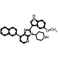 COc1ccc2[nH]cc(-c3nc4c(-c5ccc6ccccc6c5)ccnc4n3C3CCNCC3)c2c1